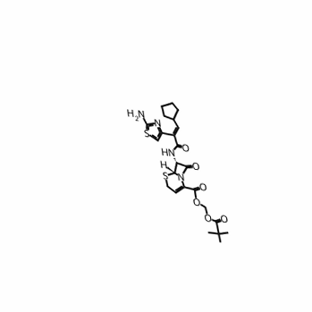 CC(C)(C)C(=O)OCOC(=O)C1=CCS[C@@H]2[C@H](NC(=O)/C(=C/C3CCCC3)c3csc(N)n3)C(=O)N12